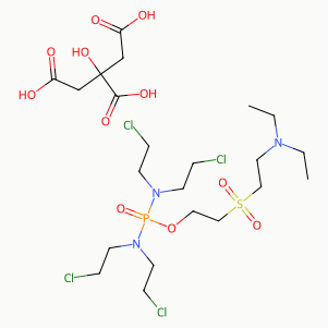 CCN(CC)CCS(=O)(=O)CCOP(=O)(N(CCCl)CCCl)N(CCCl)CCCl.O=C(O)CC(O)(CC(=O)O)C(=O)O